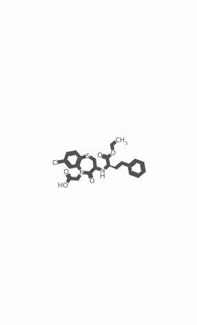 CCOC(=O)[C@@H](CCc1ccccc1)NC1CSc2ccc(Cl)cc2N(CC(=O)O)C1=O